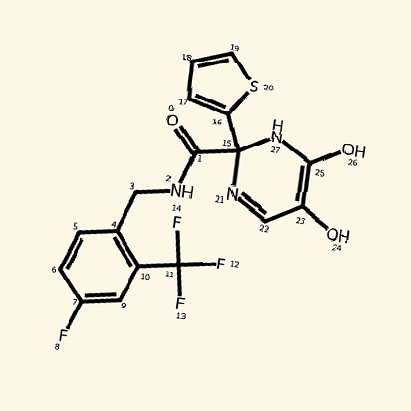 O=C(NCc1ccc(F)cc1C(F)(F)F)C1(c2cccs2)N=CC(O)=C(O)N1